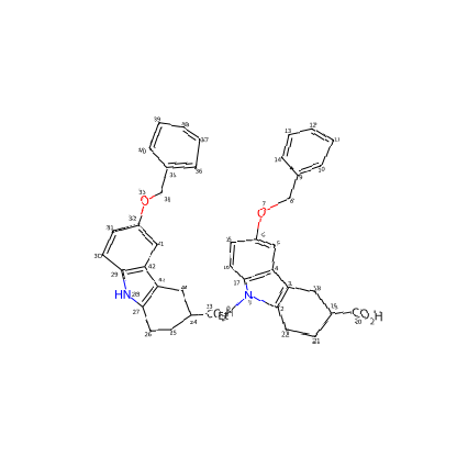 CCn1c2c(c3cc(OCc4ccccc4)ccc31)CC(C(=O)O)CC2.O=C(O)C1CCc2[nH]c3ccc(OCc4ccccc4)cc3c2C1